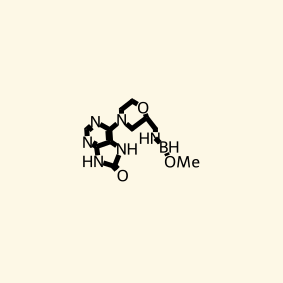 COBNCC1CN(c2ncnc3[nH]c(=O)[nH]c23)CCO1